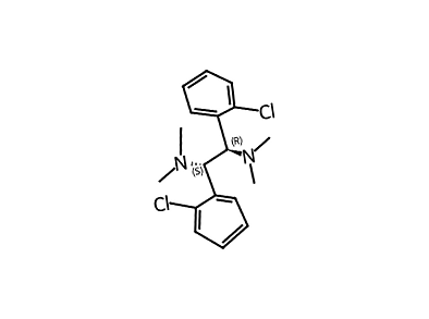 CN(C)[C@H](c1ccccc1Cl)[C@H](c1ccccc1Cl)N(C)C